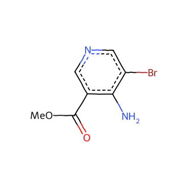 COC(=O)c1cncc(Br)c1N